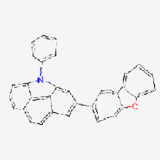 c1ccc(-n2c3cccc4ccc5cc(-c6ccc7oc8ccccc8c7c6)cc2c5c43)cc1